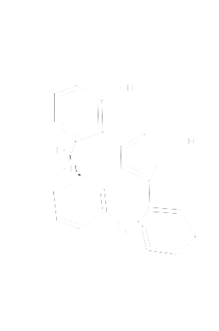 Cc1cc(C)c(C2=C[Si](C)(C)C(c3ccccn3)=C2c2c(C)cc(C)cc2C)c(C)c1